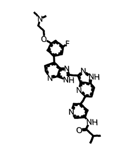 CC(C)C(=O)Nc1cncc(-c2ccc3[nH]nc(-c4nc5c(-c6cc(F)cc(OCCN(C)C)c6)ccnc5[nH]4)c3n2)c1